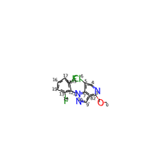 COc1ncc(Cl)c2c1[c]nn2-c1c(F)cccc1F